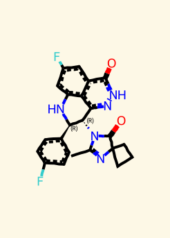 CC1=NC2(CCC2)C(=O)N1[C@H]1c2n[nH]c(=O)c3cc(F)cc(c23)N[C@@H]1c1ccc(F)cc1